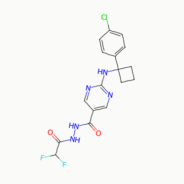 O=C(NNC(=O)C(F)F)c1cnc(NC2(c3ccc(Cl)cc3)CCC2)nc1